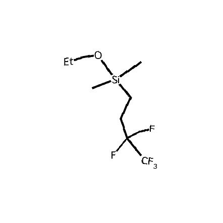 CCO[Si](C)(C)CCC(F)(F)C(F)(F)F